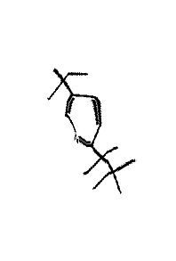 CC(C)(C)c1ccc(C(C)(C)C(C)(C)C)nc1